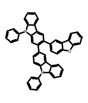 c1ccc(-n2c3ccccc3c3cc(-c4cc5c(cc4-c4ccc6oc7ccccc7c6c4)c4ccccc4n5-c4ccccc4)ccc32)cc1